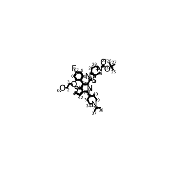 COCCOc1cc(F)ccc1-c1c(-c2nc3c(s2)CN(C(=O)OC(C)(C)C)CC3)nc(C2CCN(C(C)C)CC2)c2ccsc12